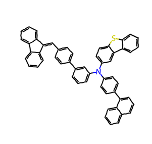 C(=C1c2ccccc2-c2ccccc21)c1ccc(-c2cccc(N(c3ccc(-c4cccc5ccccc45)cc3)c3ccc4sc5ccccc5c4c3)c2)cc1